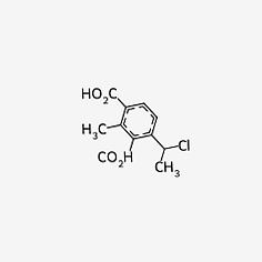 Cc1c(C(=O)O)ccc(C(C)Cl)c1C(=O)O